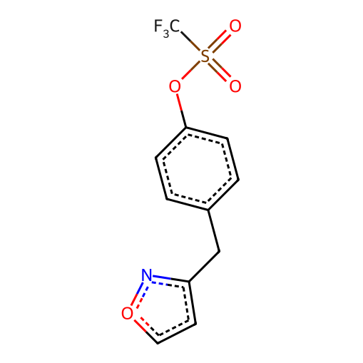 O=S(=O)(Oc1ccc(Cc2ccon2)cc1)C(F)(F)F